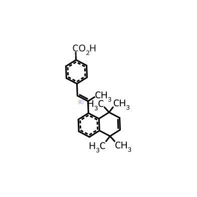 C/C(=C\c1ccc(C(=O)O)cc1)c1cccc2c1C(C)(C)C=CC2(C)C